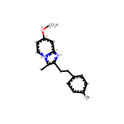 Cc1c(CCc2ccc(C#N)cc2)nc2cc(OC(=O)O)ccn12